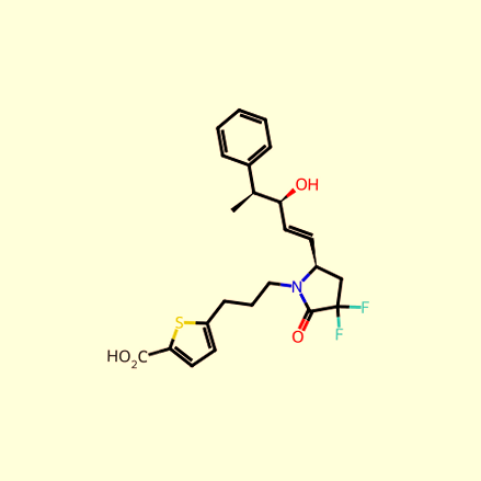 C[C@@H](c1ccccc1)[C@@H](O)C=C[C@H]1CC(F)(F)C(=O)N1CCCc1ccc(C(=O)O)s1